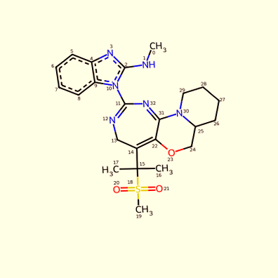 CNc1nc2ccccc2n1C1=NCC(C(C)(C)S(C)(=O)=O)=C2OCC3CCCCN3C2=N1